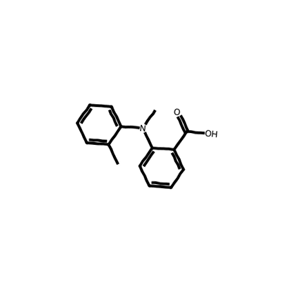 Cc1ccccc1N(C)c1ccccc1C(=O)O